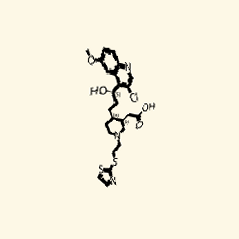 COc1ccc2ncc(Cl)c([C@@H](O)CC[C@@H]3CCN(CCSc4nccs4)C[C@@H]3CC(=O)O)c2c1